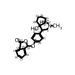 CN(C)CC(c1ccc(OC2OC(=O)c3ccccc32)cc1)C1(O)CCCCC1